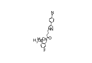 COc1ccc(F)cc1CN(C)C(=O)CCCn1cc(-c2ccc(C#N)cc2)cn1